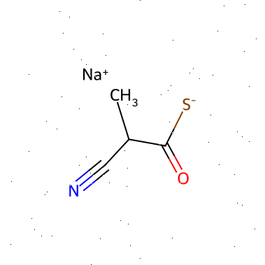 CC(C#N)C(=O)[S-].[Na+]